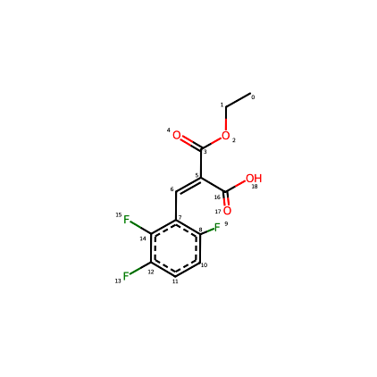 CCOC(=O)C(=Cc1c(F)ccc(F)c1F)C(=O)O